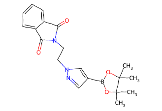 CC1(C)OB(c2cnn(CCN3C(=O)c4ccccc4C3=O)c2)OC1(C)C